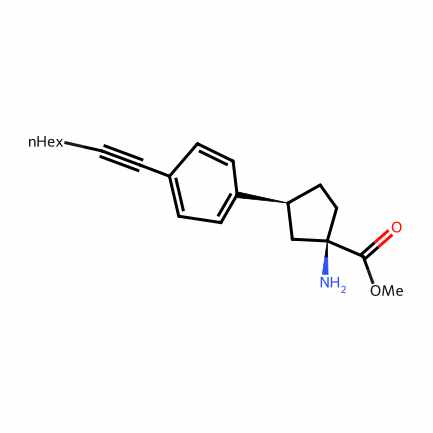 CCCCCCC#Cc1ccc([C@H]2CC[C@](N)(C(=O)OC)C2)cc1